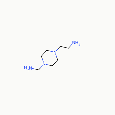 NCCN1CCN(CN)CC1